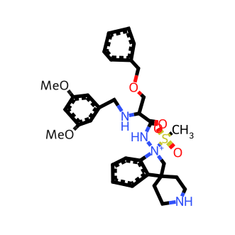 COc1cc(CNC(COCc2ccccc2)C(=O)N[N+]2(S(C)(=O)=O)CC3(CCNCC3)c3ccccc32)cc(OC)c1